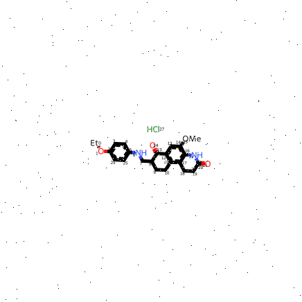 CCOc1ccc(NCC2CCc3c(cc(OC)c4c3CCC(=O)N4)C2=O)cc1.Cl